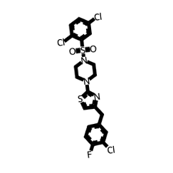 O=S(=O)(c1cc(Cl)ccc1Cl)N1CCN(c2nc(Cc3ccc(F)c(Cl)c3)cs2)CC1